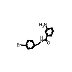 Nc1c[c]cc(C(=O)NCc2ccc(Br)cc2)c1